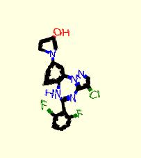 OC1CCN(c2ccc3c(c2)-n2ncc(Cl)c2N=C(c2c(F)cccc2F)N3)C1